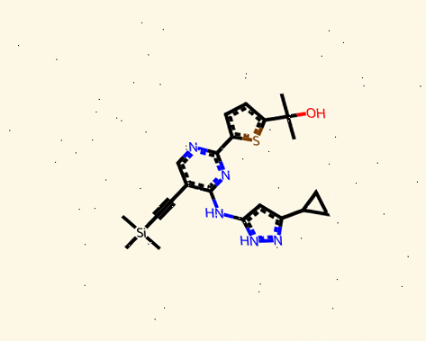 CC(C)(O)c1ccc(-c2ncc(C#C[Si](C)(C)C)c(Nc3cc(C4CC4)n[nH]3)n2)s1